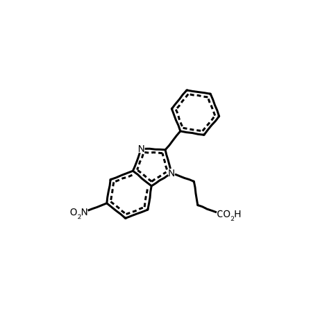 O=C(O)CCn1c(-c2ccccc2)nc2cc([N+](=O)[O-])ccc21